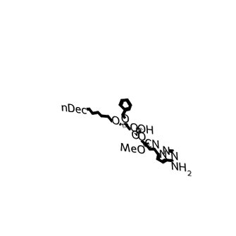 CCCCCCCCCCCCCCCCOC[C@@H](COP(=O)(O)OC[C@](C#N)(CCc1ccc2c(N)ncnn12)OC)OCc1ccccc1